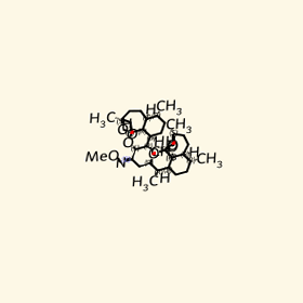 CO/N=C(/C[C@H]1O[C@@H]2C[C@]3(C)CC[C@H]4[C@H](C)CC[C@@H]([C@H]1C)[C@@]24OO3)[C@H]1O[C@@H]2C[C@]3(C)CC[C@H]4[C@H](C)CC[C@@H]([C@H]1C)[C@@]24OO3